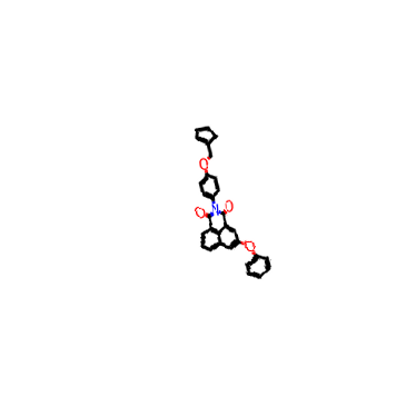 O=C1c2cccc3cc(Oc4ccccc4)cc(c23)C(=O)N1c1ccc(OCC2=CC=CC2)cc1